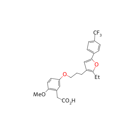 CCc1oc(-c2ccc(C(F)(F)F)cc2)cc1CCCOc1ccc(OC)c(CC(=O)O)c1